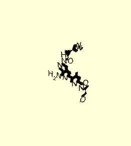 COCC[C@@H]1COC(c2cc(C)c(-c3cc4cc(NC(=O)[C@@H]5C[C@H]5c5cnn(C)c5)ncc4c(N)n3)cn2)=N1